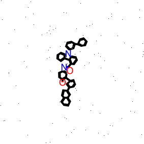 c1ccc(-c2cccc(-n3c4ccccc4c4c(-c5nc6ccc7oc8c(-c9ccc%10ccccc%10c9)cccc8c7c6o5)cccc43)c2)cc1